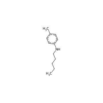 CCCCCNc1ccc(C)cc1